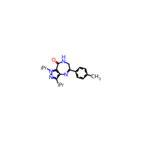 Cc1ccc(C2=Nc3c(C(C)C)nn(C(C)C)c3C(=O)NC2)cc1